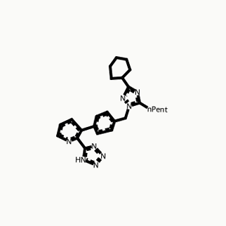 CCCCCc1nc(C2CCCCC2)nn1Cc1ccc(-c2cccnc2-c2nnn[nH]2)cc1